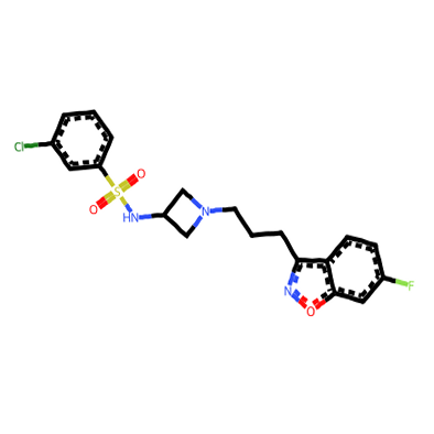 O=S(=O)(NC1CN(CCCc2noc3cc(F)ccc23)C1)c1cccc(Cl)c1